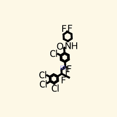 CC(F)(F)C(/C=C(\F)c1ccc(C(=O)NC2CCC(F)(F)CC2)c(Cl)c1)c1cc(Cl)c(Cl)c(Cl)c1